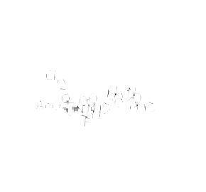 CC(=O)OC[C@H]1O[C@@H](n2cc(F)c(=O)n(C(=O)c3cccc(C(=O)Oc4cc(OC(=O)c5ccccc5)ncc4Cl)c3)c2=O)C[C@@H]1OCc1ccc(Cl)cc1